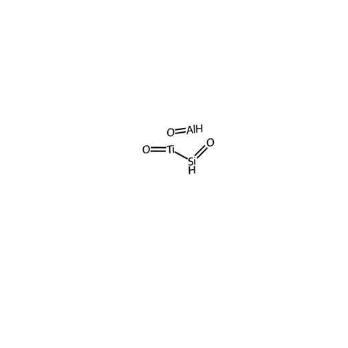 O=[SiH][Ti]=[O].[O]=[AlH]